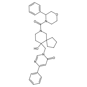 O=C(N1CCC(O)(Cn2cnc(-c3ccccc3)cc2=O)C2(CCCC2)C1)N1CCOCC1c1ccccc1